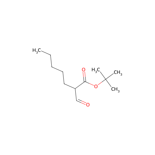 CCCCCC(C=O)C(=O)OC(C)(C)C